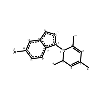 CC1=CC(C)N(n2ncc3cc(Br)ccc32)C(C)=C1